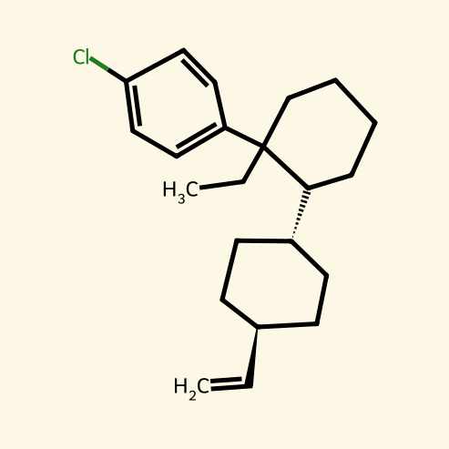 C=C[C@H]1CC[C@H](C2CCCCC2(CC)c2ccc(Cl)cc2)CC1